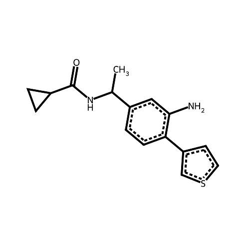 CC(NC(=O)C1CC1)c1ccc(-c2ccsc2)c(N)c1